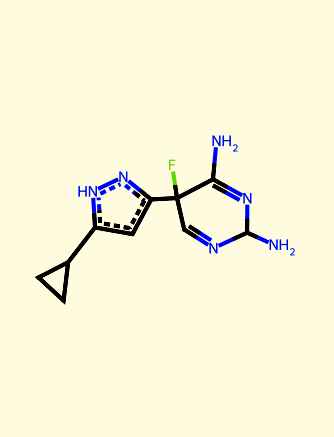 NC1=NC(N)N=CC1(F)c1cc(C2CC2)[nH]n1